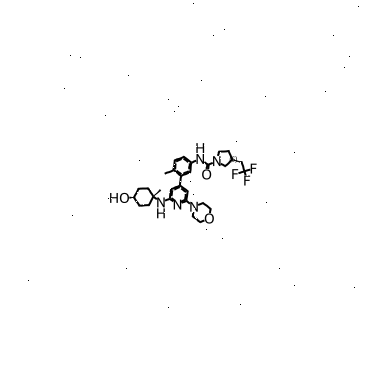 Cc1ccc(NC(=O)N2CC[C@@H](CC(F)(F)F)C2)cc1-c1cc(N[C@]2(C)CC[C@@H](O)CC2)nc(N2CCOCC2)c1